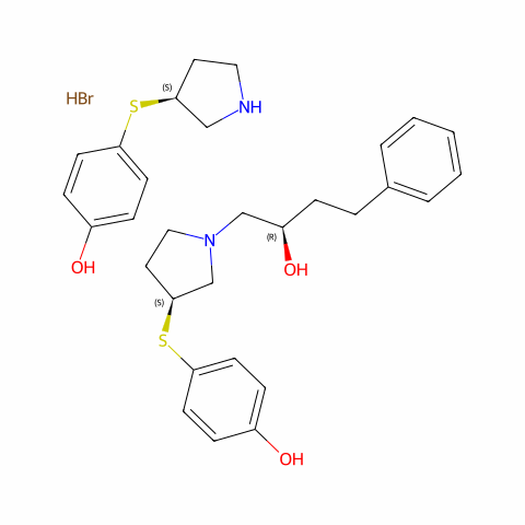 Br.Oc1ccc(S[C@H]2CCN(C[C@H](O)CCc3ccccc3)C2)cc1.Oc1ccc(S[C@H]2CCNC2)cc1